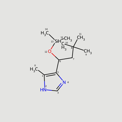 Cc1[nH]cnc1C(CC(C)(C)C)O[SiH](C)C